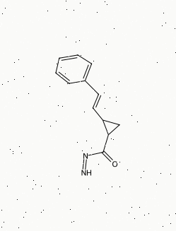 N=NC(=O)C1CC1/C=C/c1ccccc1